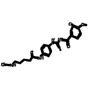 COc1ccc(C(=O)NC(=S)Nc2ccc(NC(=O)CCCCNCl)cc2)cc1Cl